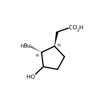 CCCC[C@H]1C(O)CC[C@@H]1CC(=O)O